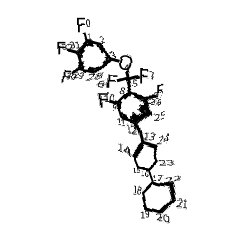 Fc1cc(OC(F)(F)c2c(F)cc(C3=CCC(C4CCCCC4)CC3)cc2F)cc(F)c1F